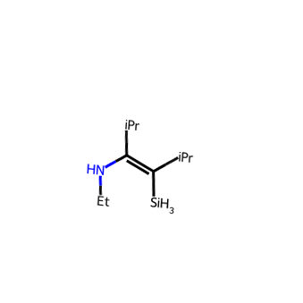 CCNC(=C([SiH3])C(C)C)C(C)C